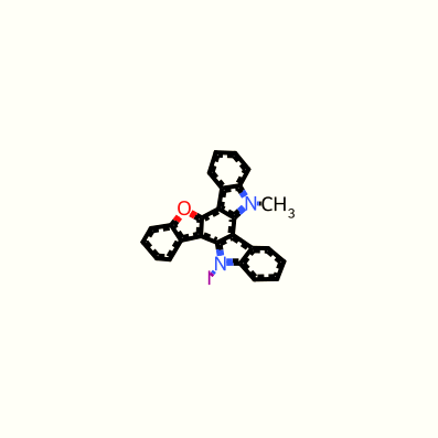 Cn1c2ccccc2c2c3oc4ccccc4c3c3c(c4ccccc4n3I)c21